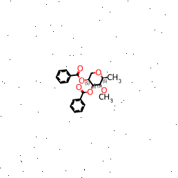 CO[C@@H]1[C@@H](OC(=O)c2ccccc2)[C@@H](OC(=O)c2ccccc2)CO[C@H]1C